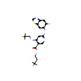 CC(C)(F)CNc1cc(Nc2cc3scnc3cc2F)ncc1C(=O)NC[C@@H](F)C(C)(C)O